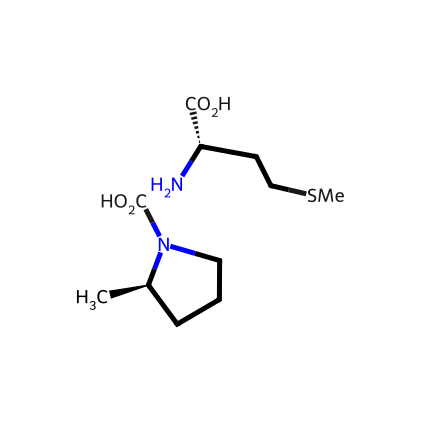 CSCC[C@H](N)C(=O)O.C[C@@H]1CCCN1C(=O)O